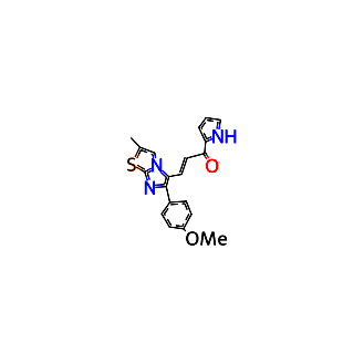 COc1ccc(-c2nc3sc(C)cn3c2C=CC(=O)c2ccc[nH]2)cc1